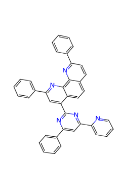 c1ccc(-c2cc(-c3ccccn3)nc(-c3cc(-c4ccccc4)nc4c3ccc3ccc(-c5ccccc5)nc34)n2)cc1